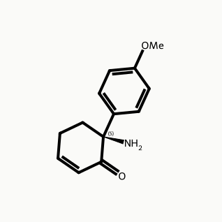 COc1ccc([C@@]2(N)CCC=CC2=O)cc1